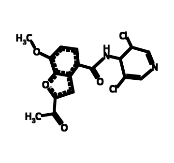 COc1ccc(C(=O)NC2C(Cl)=CN=CC2Cl)c2cc(C(C)=O)oc12